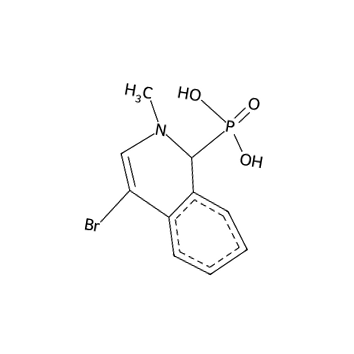 CN1C=C(Br)c2ccccc2C1P(=O)(O)O